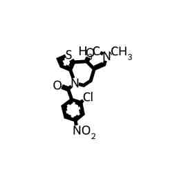 CN(C)/C=C1/CCN(C(=O)c2ccc([N+](=O)[O-])cc2Cl)c2ccsc2C1=O